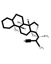 CC(C#N)[C@@H](C)[C@H]1CC[C@H]2[C@@H]3CCC4CCCC[C@]4(C)[C@H]3CC[C@]12C